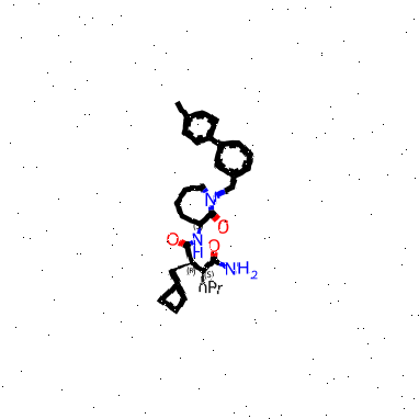 CCC[C@H](C(N)=O)[C@@H](CC1CCC1)C(=O)N[C@H]1CCCCN(Cc2cccc(-c3ccc(C)cc3)c2)C1=O